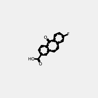 O=C(O)c1ccc2c(=O)c3ccc(F)cc3ccc2c1